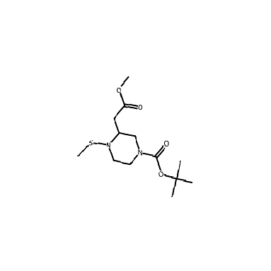 COC(=O)CC1CN(C(=O)OC(C)(C)C)CCN1SC